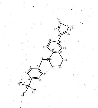 FC(F)(F)c1ccc(CN2CCCc3cc(-c4cn[nH]c4)ccc32)cc1